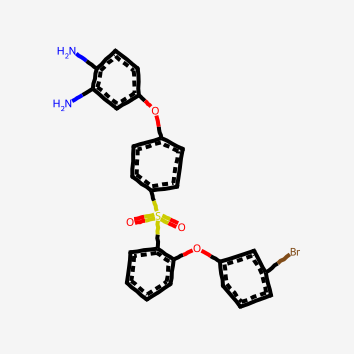 Nc1ccc(Oc2ccc(S(=O)(=O)c3ccccc3Oc3cccc(Br)c3)cc2)cc1N